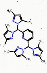 Cc1cc(C)n(C(c2cccc(C(n3nc(C)cc3C)n3nc(C)cc3C)n2)n2nc(C)cc2C)n1